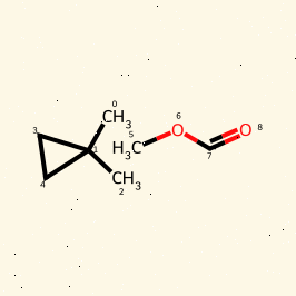 CC1(C)CC1.CO[C]=O